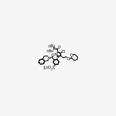 CCCCN(CCCC)C(=O)c1nn(-c2ccc(C(=O)OCC)cc2C(=O)N2CCc3ccccc3C2)c(CCOC2CCCCO2)c1Cl